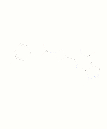 CC(C)(C)n1ncc2c(=O)[nH]c(C3CN(C(=O)Oc4cccc(Cl)c4)C3)nc21